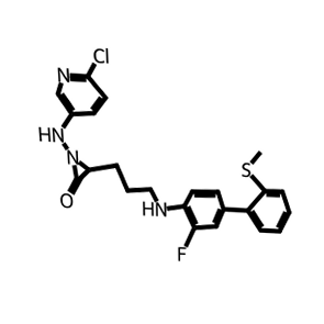 CSc1ccccc1-c1ccc(NCCCC2C(=O)N2Nc2ccc(Cl)nc2)c(F)c1